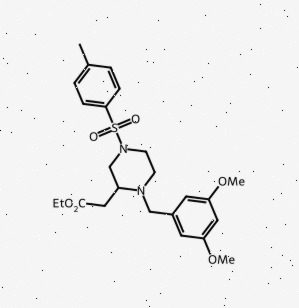 CCOC(=O)CC1CN(S(=O)(=O)c2ccc(C)cc2)CCN1Cc1cc(OC)cc(OC)c1